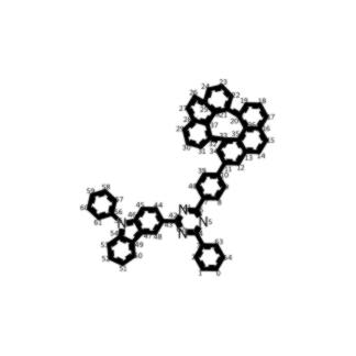 c1ccc(-c2nc(-c3ccc(-c4cc5ccc6cccc7c8cccc9ccc%10cccc(c(c4)c5c67)c%10c98)cc3)nc(-c3ccc4c(c3)c3ccccc3n4-c3ccccc3)n2)cc1